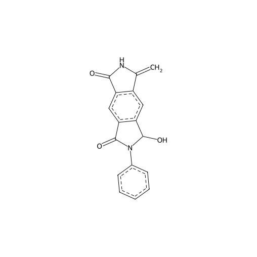 C=C1NC(=O)c2cc3c(cc21)C(O)N(c1ccccc1)C3=O